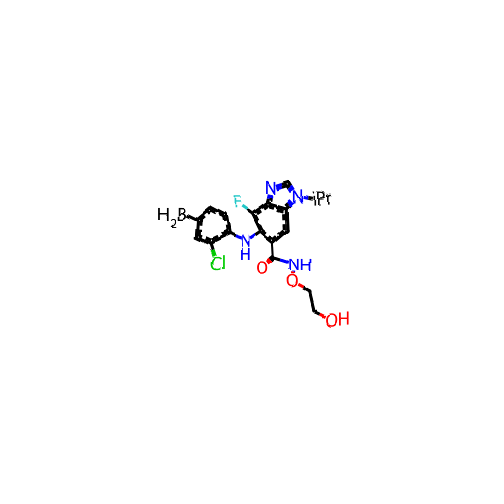 Bc1ccc(Nc2c(C(=O)NOCCO)cc3c(ncn3C(C)C)c2F)c(Cl)c1